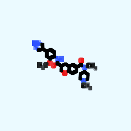 COc1cc(-c2cn[nH]c2)ccc1NC(=O)C1COc2ccc(C(=O)N(C)C3CCN(C)CC3)cc2C1